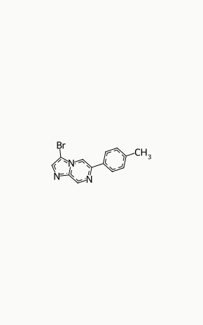 Cc1ccc(-c2cn3c(Br)cnc3cn2)cc1